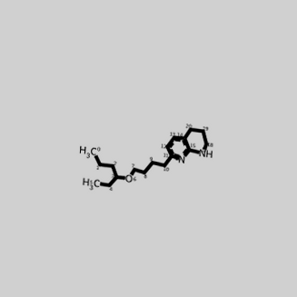 CCCC(CC)OCCCCc1ccc2c(n1)NCCC2